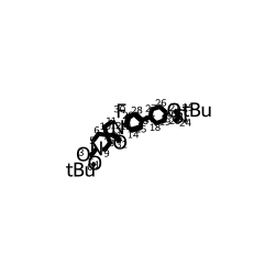 CC(C)(C)OC(=O)N1CCC2(CC1)CCN(c1ccc(C3CCC(O[Si](C)(C)C(C)(C)C)CC3)cc1F)C2=O